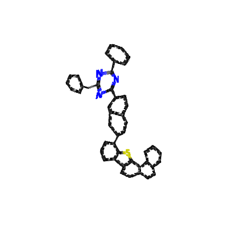 c1ccc(-c2nc(-c3ccccc3)nc(-c3ccc4ccc(-c5cccc6c5sc5c6ccc6ccc7ccccc7c65)cc4c3)n2)cc1